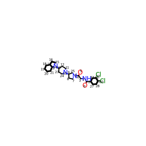 O=C(NCC(=O)N1CCC(N2CCC(n3ccc4ccccc43)CC2)C1)c1ccc(Cl)c(Cl)c1